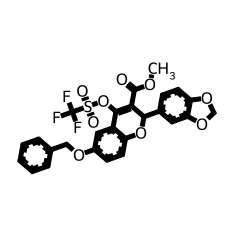 COC(=O)C1=C(OS(=O)(=O)C(F)(F)F)c2cc(OCc3ccccc3)ccc2OC1c1ccc2c(c1)OCO2